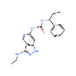 CCNc1n[nH]c2cc(NC(=O)NC(CC)c3ccccc3)ncc12